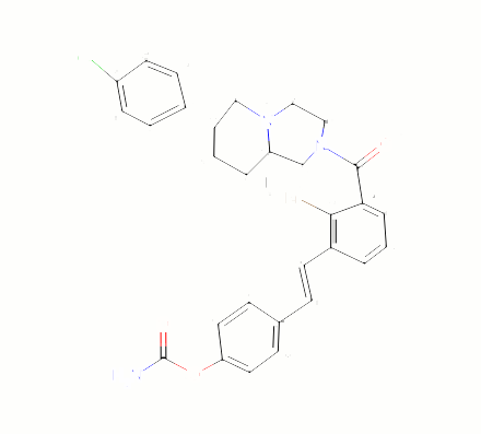 NC(=O)Oc1ccc(/C=C/c2cccc(C(=O)N3CCN4C[C@@H](c5ccc(Cl)cc5)CC[C@@H]4C3)c2Br)cc1